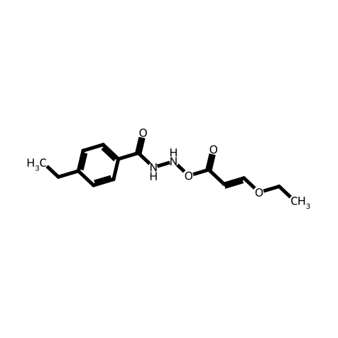 CCOC=CC(=O)ONNC(=O)c1ccc(CC)cc1